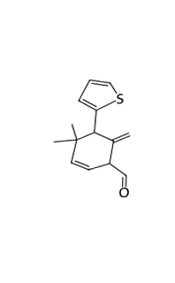 C=C1C(C=O)C=CC(C)(C)C1c1cccs1